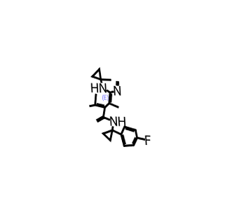 C=N/C(NC1(C)CC1)=C(\C)C(C(=C)NC1(c2ccc(F)cc2)CC1)=C(C)C